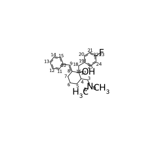 CN(C)CC1CCCC(=Cc2ccccc2)C1(O)Cc1ccc(F)cc1